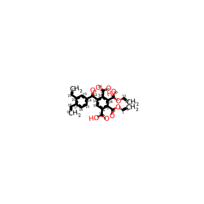 C=COC(=O)c1c(C(=O)O)cc(C(=O)c2ccc(C=C)c(C=C)c2)c(C(=O)O)c1C(=O)OC=C